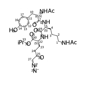 CC(=O)NCCCC[C@H](NC(=O)[C@H](Cc1ccc(O)cc1)NC(C)=O)C(=O)N[C@@H](CCC(=O)C=[N+]=[N-])C(=O)OC(C)C